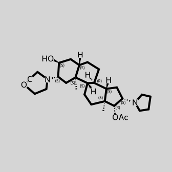 CC(=O)O[C@H]1[C@@H](N2CCCC2)C[C@H]2[C@@H]3CC[C@H]4C[C@H](O)[C@@H](N5CCOCC5)C[C@]4(C)[C@H]3CC[C@@]21C